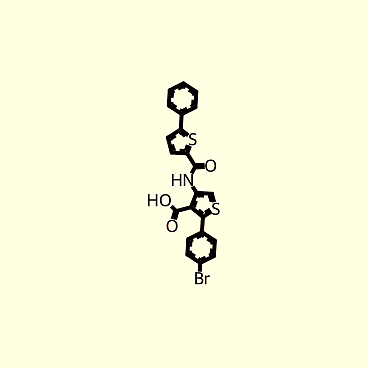 O=C(Nc1csc(-c2ccc(Br)cc2)c1C(=O)O)c1ccc(-c2ccccc2)s1